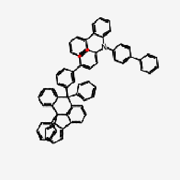 c1ccc(-c2ccc(N(c3ccc(-c4cccc(C5(c6ccccc6)c6ccccc6C6(c7ccccc7)c7ccccc7-c7cccc5c76)c4)cc3)c3ccccc3-c3ccccc3)cc2)cc1